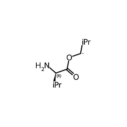 CC(C)[CH]OC(=O)[C@H](N)C(C)C